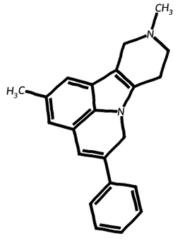 Cc1cc2c3c(c1)c1c(n3CC(c3ccccc3)=C2)CCN(C)C1